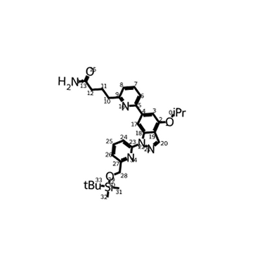 CC(C)Oc1cc(-c2cccc([CH]CCC(N)=O)n2)cc2c1cnn2-c1cccc(CO[Si](C)(C)C(C)(C)C)n1